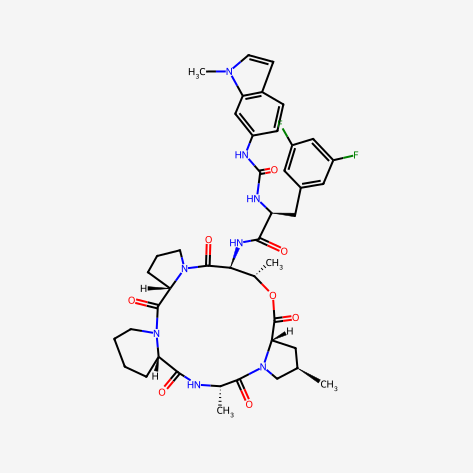 C[C@@H]1C[C@H]2C(=O)O[C@@H](C)[C@H](NC(=O)[C@H](Cc3cc(F)cc(F)c3)NC(=O)Nc3ccc4ccn(C)c4c3)C(=O)N3CCC[C@H]3C(=O)N3CCCC[C@H]3C(=O)N[C@@H](C)C(=O)N2C1